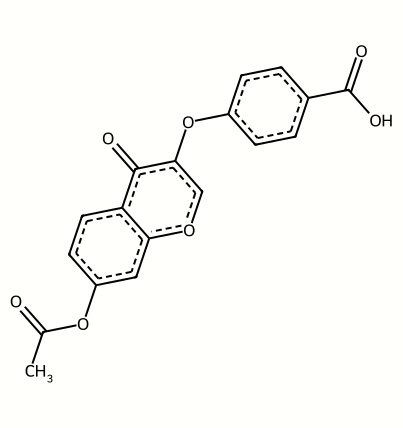 CC(=O)Oc1ccc2c(=O)c(Oc3ccc(C(=O)O)cc3)coc2c1